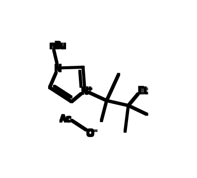 CC(=O)[O-].CCCCn1cc[n+](C(C)(C)C(C)(C)CC)c1